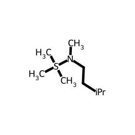 CC(C)CCN(C)S(C)(C)C